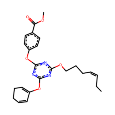 CC/C=C\CCCOc1nc(OC2=CCCC=C2)nc(Oc2ccc(C(=O)OC)cc2)n1